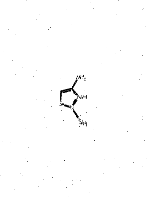 NC1=CSN(S)N1